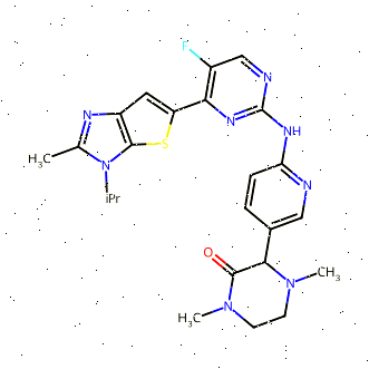 Cc1nc2cc(-c3nc(Nc4ccc(C5C(=O)N(C)CCN5C)cn4)ncc3F)sc2n1C(C)C